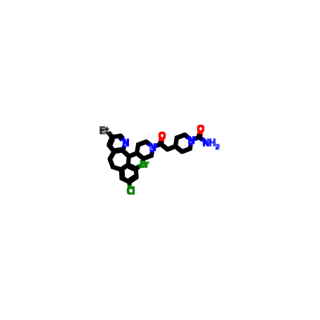 CCc1cnc2c(c1)CCc1cc(Cl)cc(Br)c1C2C1CCN(C(=O)CC2CCN(C(N)=O)CC2)CC1